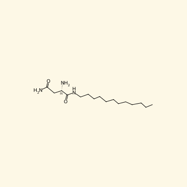 CCCCCCCCCCCCNC(=O)[C@@H](N)CC(N)=O